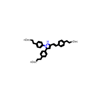 CCCCCCCCCCCCc1ccc(C=CC2=CC(c3ccc(CCCCCCCCCCCC)cc3)N(c3ccc(CCCCCCCCCCCC)cc3)N2)cc1